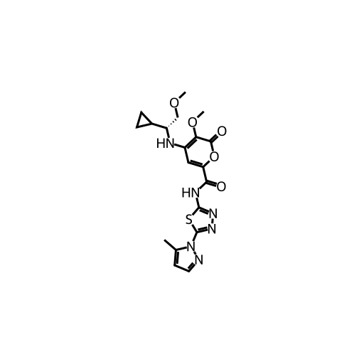 COC[C@H](Nc1cc(C(=O)Nc2nnc(-n3nccc3C)s2)oc(=O)c1OC)C1CC1